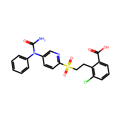 NC(=O)N(c1ccccc1)c1ccc(S(=O)(=O)CCc2c(Cl)cccc2C(=O)O)nc1